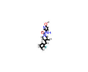 COc1ccc(NC(=O)N2CC/C(=C\c3cccc(C)c3F)C(C)C2)cn1